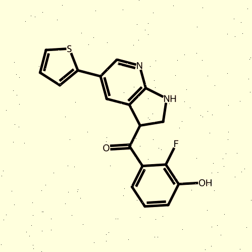 O=C(c1cccc(O)c1F)C1CNc2ncc(-c3cccs3)cc21